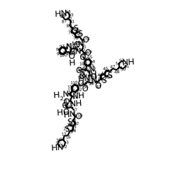 Nc1c(C(=O)NC(CNC(=O)c2cc3cc(CCC4CCNCC4)sc3s2)C(=O)O)[nH]c2cc(OC(=O)C(CNC(=O)c3cc4cc(CCC5CCNCC5)sc4s3)NC(=O)C3=Nc4ccc(OC(=O)C(CNC(=O)c5cc6cc(CCC7CCNCC7)sc6s5)NC(=O)C5=Nc6ccccc6C5O)cc4C3=S(=O)=O)ccc12